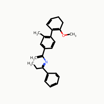 C=C(/N=C(\CC)c1ccccc1)c1ccc(C2=C(OC)CCC=C2)c(C)c1